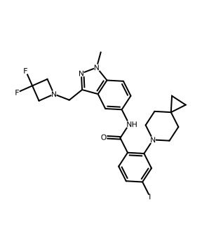 Cn1nc(CN2CC(F)(F)C2)c2cc(NC(=O)c3ccc(I)cc3N3CCC4(CC3)CC4)ccc21